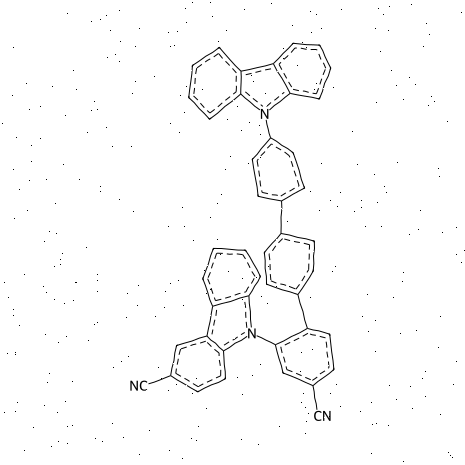 N#Cc1ccc(-c2ccc(-c3ccc(-n4c5ccccc5c5ccccc54)cc3)cc2)c(-n2c3ccccc3c3cc(C#N)ccc32)c1